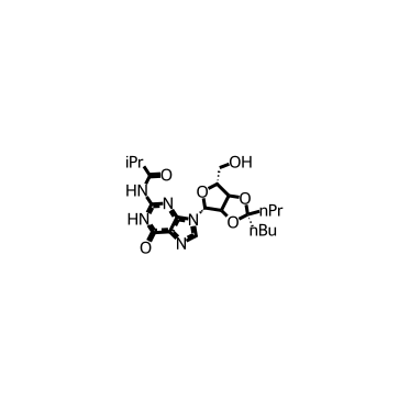 CCCC[C@]1(CCC)OC2C(O1)[C@@H](CO)O[C@H]2n1cnc2c(=O)[nH]c(NC(=O)C(C)C)nc21